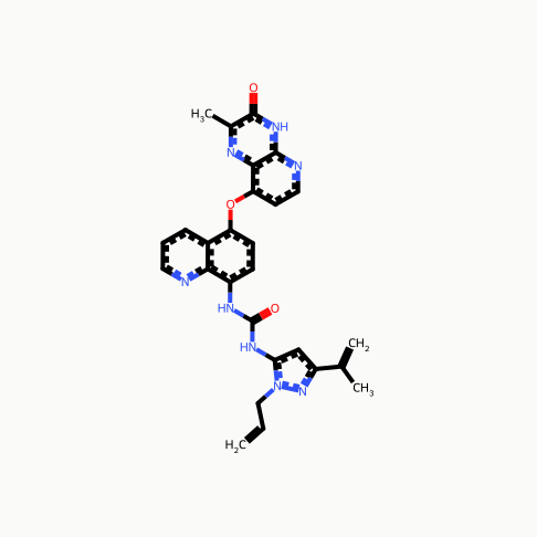 C=CCn1nc(C(=C)C)cc1NC(=O)Nc1ccc(Oc2ccnc3[nH]c(=O)c(C)nc23)c2cccnc12